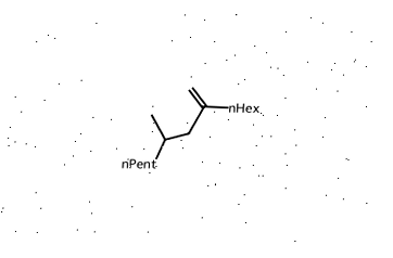 C=C(CCCCCC)CC(C)CCCCC